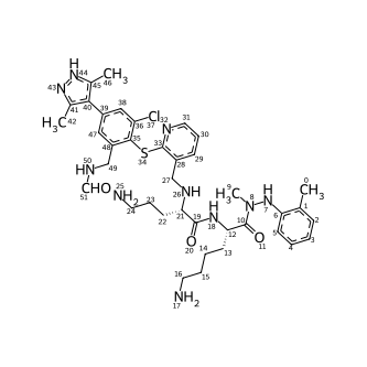 Cc1ccccc1NN(C)C(=O)[C@H](CCCCN)NC(=O)[C@H](CCCN)NCc1cccnc1Sc1c(Cl)cc(-c2c(C)n[nH]c2C)cc1CNC=O